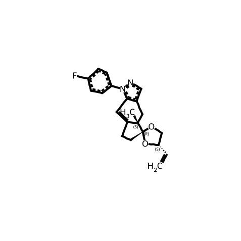 C=C[C@H]1CO[C@]2(CCC3=Cc4c(cnn4-c4ccc(F)cc4)C[C@@]32C)O1